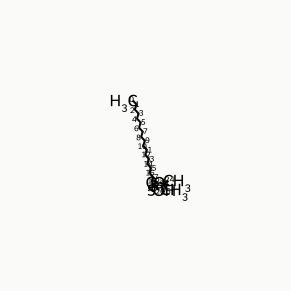 CCCCCCCCCCCCCCCCCCOP(O)(=S)OC(C)C